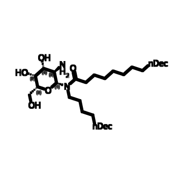 CCCCCCCCCCCCCCCCCC(=O)N(CCCCCCCCCCCCCC)[C@@H]1O[C@H](CO)[C@H](O)[C@H](O)[C@H]1N